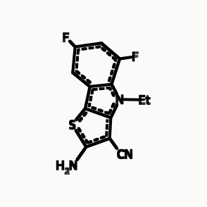 CCn1c2c(F)cc(F)cc2c2sc(N)c(C#N)c21